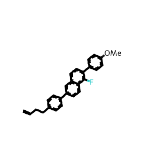 C=CCCc1ccc(-c2ccc3c(F)c(-c4ccc(OC)cc4)ccc3c2)cc1